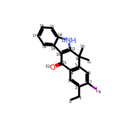 CCc1cc2c(cc1I)C(C)(C)c1[nH]c3ccccc3c1C2=O